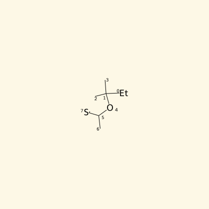 CCC(C)(C)OC(C)[S]